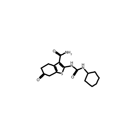 NC(=O)c1c(NC(=O)NC2CCCCC2)sc2c1CCC(=O)C2